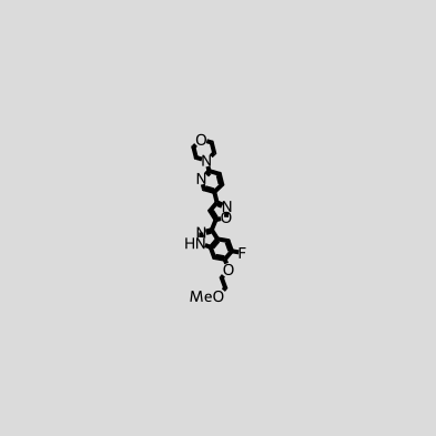 COCCOc1cc2[nH]nc(-c3cc(-c4ccc(N5CCOCC5)nc4)no3)c2cc1F